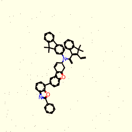 C=CC1=C(C(=C)N(c2ccc3c(c2)C(C)(C)c2ccccc2-3)C2C=Cc3c(oc4ccc(-c5cccc6nc(-c7ccccc7)oc56)cc34)C2)c2ccccc2C1(C)C